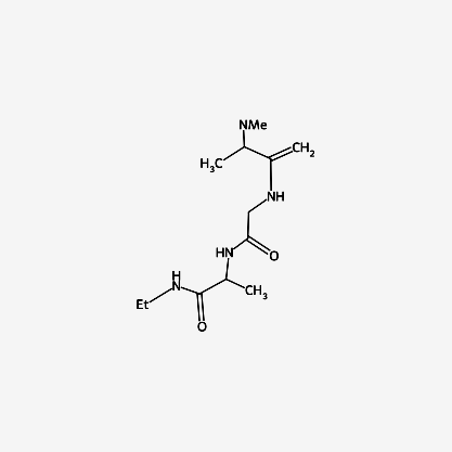 C=C(NCC(=O)NC(C)C(=O)NCC)C(C)NC